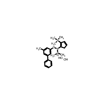 Cc1cc([O][Ti]([C]2=C([Si](C)(C)C)C=CC2)[SiH](C)C)cc(-c2ccccc2)c1.Cl.Cl